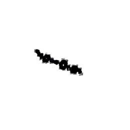 CCCCC[C@H]1CC[C@H](/C=C/C#C[C@H]2CC[C@H](COc3ccc(CC)cc3)CC2)CC1